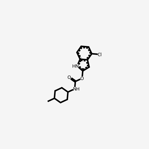 CC1CCC(NC(=O)Oc2cc3c(Cl)cccc3[nH]2)CC1